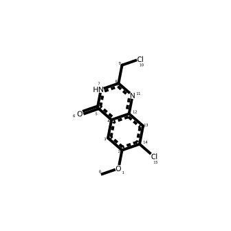 COc1cc2c(=O)[nH]c(CCl)nc2cc1Cl